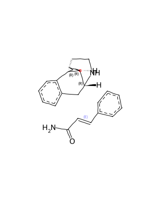 NC(=O)/C=C/c1ccccc1.c1ccc2c(c1)C[C@H]1NCC[C@@]23CCCC[C@@H]13